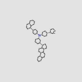 c1ccc(-c2ccc(N(c3ccc(-c4cccc5ccccc45)cc3)c3cccc(-c4cccc5c4ccc4c6ccccc6ccc54)c3)cc2)cc1